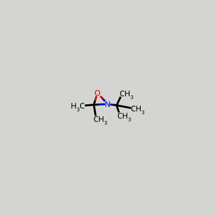 CC(C)(C)N1OC1(C)C